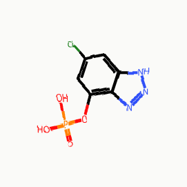 O=P(O)(O)Oc1cc(Cl)cc2[nH]nnc12